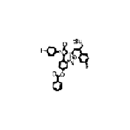 C[SiH](C)OC(/C=C(/CC(C)(C)C)c1ccc(F)cc1)[C@@H]1C(=O)N(c2ccc(F)cc2)[C@@H]1c1ccc(OC(=O)c2ccccc2)cc1